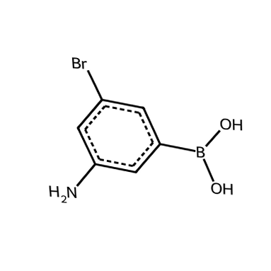 Nc1cc(Br)cc(B(O)O)c1